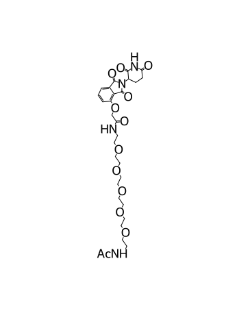 CC(=O)NCCOCCOCCOCCOCCOCCNC(=O)COc1cccc2c1C(=O)N(C1CCC(=O)NC1=O)C2=O